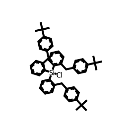 CC(C)(C)c1ccc(Cc2ccccc2[Si](Cl)(c2ccccc2Cc2ccc(C(C)(C)C)cc2)c2ccccc2Cc2ccc(C(C)(C)C)cc2)cc1